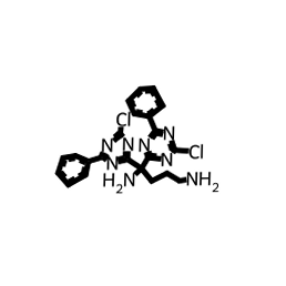 NCCCC(N)(c1nc(Cl)nc(-c2ccccc2)n1)c1nc(Cl)nc(-c2ccccc2)n1